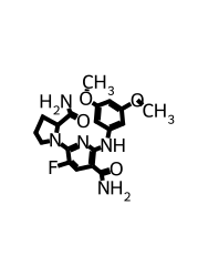 COc1cc(Nc2nc(N3CCCC3C(N)=O)c(F)cc2C(N)=O)cc(OC)c1